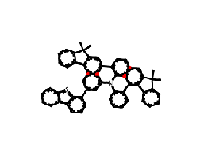 CC1(C)c2ccccc2-c2ccc(-c3ccccc3N(c3cccc(-c4cccc5c4sc4ccccc45)c3)c3ccccc3-c3cccc4c3-c3ccccc3C4(C)C)cc21